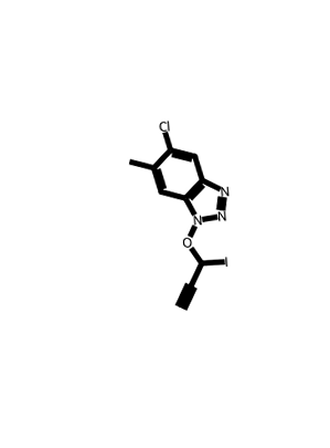 C#CC(I)On1nnc2cc(Cl)c(C)cc21